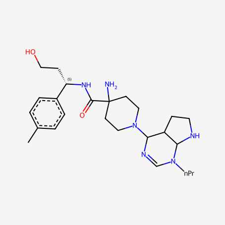 CCCN1C=NC(N2CCC(N)(C(=O)N[C@@H](CCO)c3ccc(C)cc3)CC2)C2CCNC21